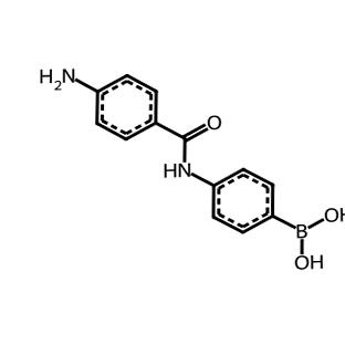 Nc1ccc(C(=O)Nc2ccc(B(O)O)cc2)cc1